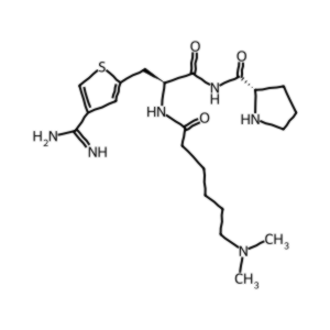 CN(C)CCCCCC(=O)N[C@@H](Cc1cc(C(=N)N)cs1)C(=O)NC(=O)[C@@H]1CCCN1